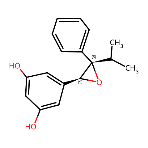 CC(C)[C@@]1(c2ccccc2)O[C@H]1c1cc(O)cc(O)c1